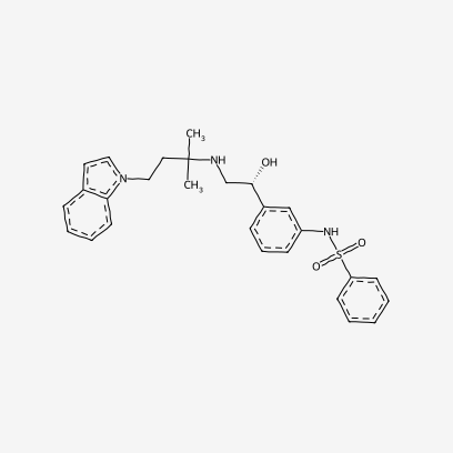 CC(C)(CCn1ccc2ccccc21)NC[C@H](O)c1cccc(NS(=O)(=O)c2ccccc2)c1